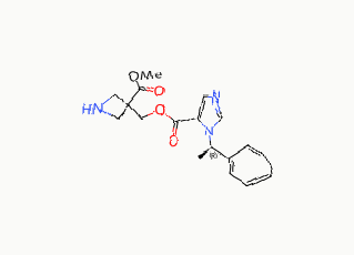 COC(=O)C1(COC(=O)c2cncn2[C@H](C)c2ccccc2)CNC1